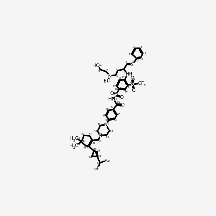 CCN(CCO)CCC(CSc1ccccc1)Nc1ccc(S(=O)(=O)NC(=O)c2ccc(N3CCN(CC4=C(C56CC(C(F)F)(C5)C6)CC(C)(C)CC4)CC3)cc2)cc1S(=O)(=O)C(F)(F)F